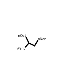 CCCCCCCCC[CH]C(CCCCC)CCCCCCCC